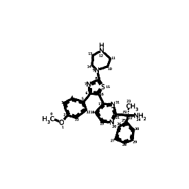 COc1ccc(-c2nc(N3CCNCC3)sc2-c2ccnc([C@@](C)(N)c3ccccc3)n2)cc1